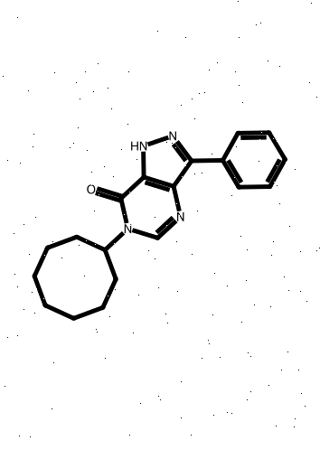 O=c1c2[nH]nc(-c3ccccc3)c2ncn1C1CCCCCCC1